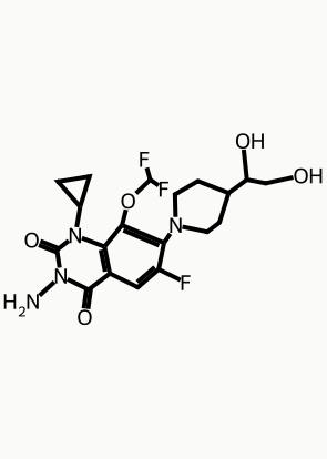 Nn1c(=O)c2cc(F)c(N3CCC(C(O)CO)CC3)c(OC(F)F)c2n(C2CC2)c1=O